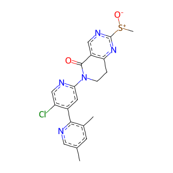 Cc1cnc(-c2cc(N3CCc4nc([S+](C)[O-])ncc4C3=O)ncc2Cl)c(C)c1